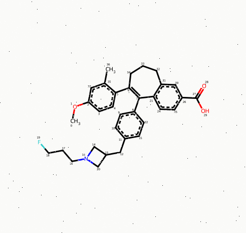 COc1ccc(C2=C(c3ccc(CC4CN(CCCF)C4)cc3)c3ccc(C(=O)O)cc3CCC2)c(C)c1